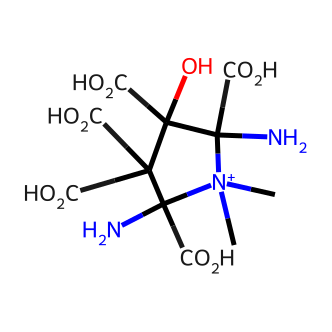 C[N+]1(C)C(N)(C(=O)O)C(O)(C(=O)O)C(C(=O)O)(C(=O)O)C1(N)C(=O)O